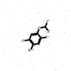 Fc1cc(OC(F)F)c(F)cc1Br